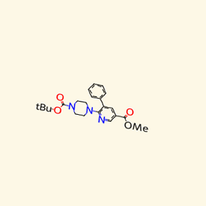 COC(=O)c1cnc(N2CCN(C(=O)OC(C)(C)C)CC2)c(-c2ccccc2)c1